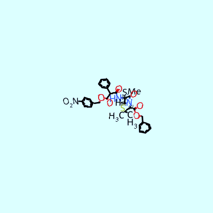 CS[C@@]1(NC(=O)C(C(=O)OCc2ccc([N+](=O)[O-])cc2)c2ccccc2)C(=O)N2[C@@H](C(=O)OCc3ccccc3)C(C)(C)S[C@@H]21